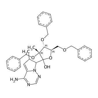 CC1C=C2C(N)=NC=NN2C1C1(O)O[C@H](COCc2ccccc2)[C@@H](OCc2ccccc2)[C@@]1(C)OCc1ccccc1